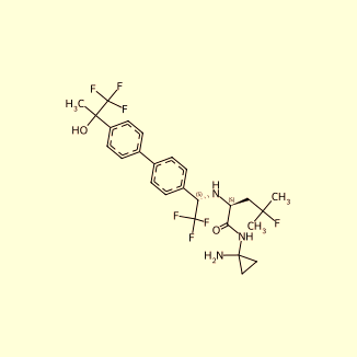 CC(C)(F)C[C@H](N[C@@H](c1ccc(-c2ccc(C(C)(O)C(F)(F)F)cc2)cc1)C(F)(F)F)C(=O)NC1(N)CC1